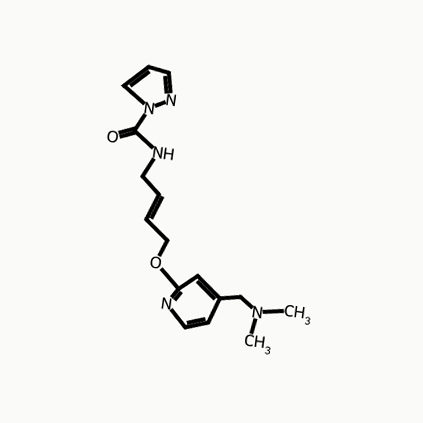 CN(C)Cc1ccnc(OCC=CCNC(=O)n2cccn2)c1